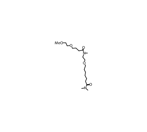 COCCOCCCC(=O)N(C)CCOCCCCCCC(=O)N(C)C